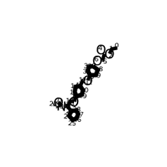 CCOC(=O)COc1ccc(OCc2ccc(OC/C(=N\OC)c3ccccc3)cc2)cc1